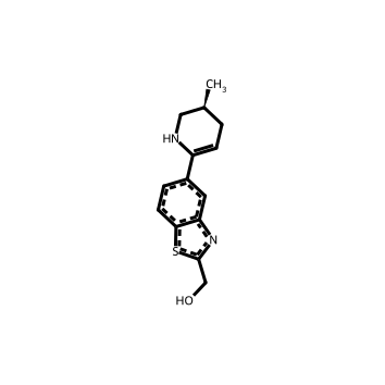 C[C@H]1CC=C(c2ccc3sc(CO)nc3c2)NC1